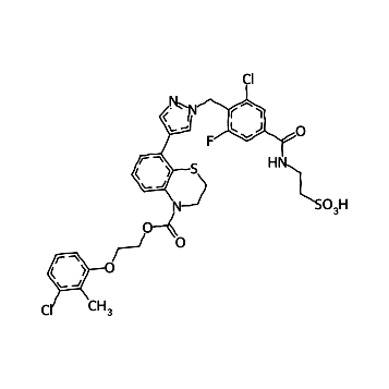 Cc1c(Cl)cccc1OCCOC(=O)N1CCSc2c(-c3cnn(Cc4c(F)cc(C(=O)NCCS(=O)(=O)O)cc4Cl)c3)cccc21